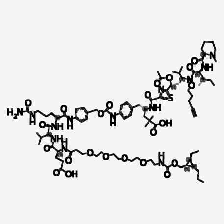 C#CCCCON(C(=O)[C@@H](NC(=O)[C@H]1CCCCN1C)[C@@H](C)CC)[C@H](C[C@@H](OC(C)=O)c1nc(C(=O)N[C@@H](Cc2ccc(NC(=O)OCc3ccc(NC(=O)[C@H](CCCNC(N)=O)NC(=O)[C@@H](NC(=O)[C@H](CCC(=O)O)NC(=O)CCOCCOCCOCCOCCNC(=O)OC[C@H]4[C@@H](CC)[C@H]4CCC)C(C)C)cc3)cc2)CC(C)(C)C(=O)O)cs1)C(C)C